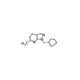 Cc1ccc2cnn(Cc3ccccc3)c2n1